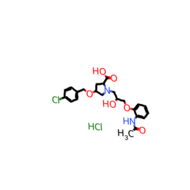 CC(=O)Nc1ccccc1OCC(O)CN1CC(OCc2ccc(Cl)cc2)CC1C(=O)O.Cl